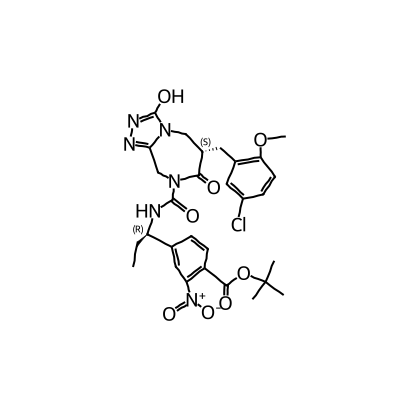 CC[C@@H](NC(=O)N1Cc2nnc(O)n2C[C@H](Cc2cc(Cl)ccc2OC)C1=O)c1ccc(C(=O)OC(C)(C)C)c([N+](=O)[O-])c1